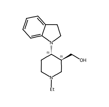 CCN1CC[C@H](N2CCc3ccccc32)[C@@H](CO)C1